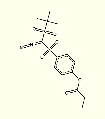 CCC(=O)Oc1ccc(S(=O)(=O)C(=[N+]=[N-])S(=O)(=O)C(C)(C)C)cc1